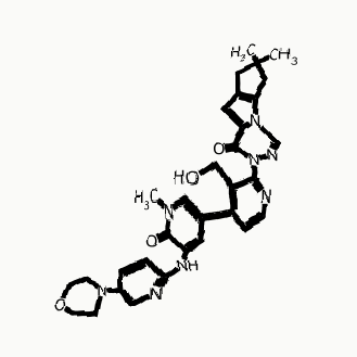 Cn1cc(-c2ccnc(-n3ncn4c5c(cc4c3=O)CC(C)(C)C5)c2CO)cc(Nc2ccc(N3CCOCC3)cn2)c1=O